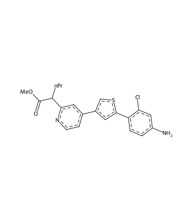 CCCC(C(=O)OC)c1cc(-c2csc(-c3ccc(N)cc3Cl)c2)ccn1